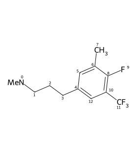 CNCCCc1cc(C)c(F)c(C(F)(F)F)c1